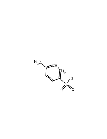 C=C(C)/C=C\C(=C)S(=O)(=O)Cl